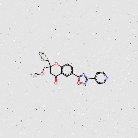 COCC1(COC)CC(=O)c2cc(-c3nc(-c4ccncc4)no3)ccc2O1